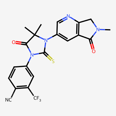 CN1Cc2ncc(N3C(=S)N(c4ccc(C#N)c(C(F)(F)F)c4)C(=O)C3(C)C)cc2C1=O